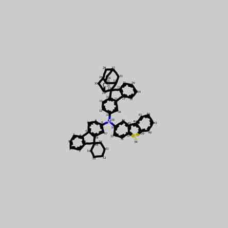 c1ccc2c(c1)-c1ccc(N(c3ccc4c(c3)-c3ccccc3C43C4CCC5CC(C4)CC3C5)c3ccc4sc5ccccc5c4c3)cc1C21CCCCC1